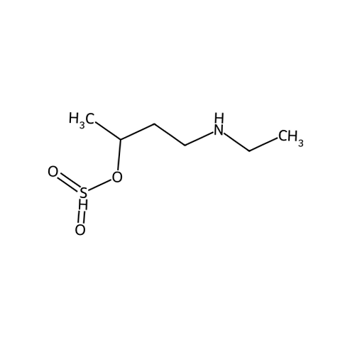 CCNCCC(C)O[SH](=O)=O